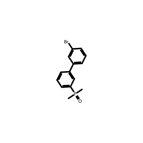 CP(C)(=O)c1cccc(-c2cccc(Br)c2)c1